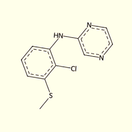 CSc1cccc(Nc2cnccn2)c1Cl